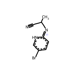 CC(C#N)/N=c1/ccc(Br)c[nH]1